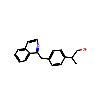 CC(CO)c1ccc(Cc2nccc3ccccc23)cc1